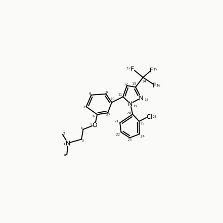 CN(C)CCOc1cccc(-c2cc(C(F)(F)F)nn2-c2ccccc2Cl)c1